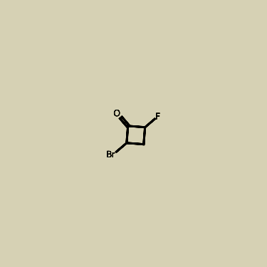 O=C1C(F)CC1Br